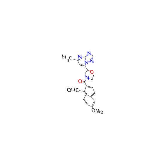 COc1ccc2c(C=O)c(C(=O)N3CCOC(c4cc(C)nc5ncnn45)C3)ccc2c1